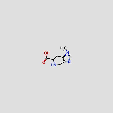 Cn1cnc2c1C[C@H](C(=O)O)NC2